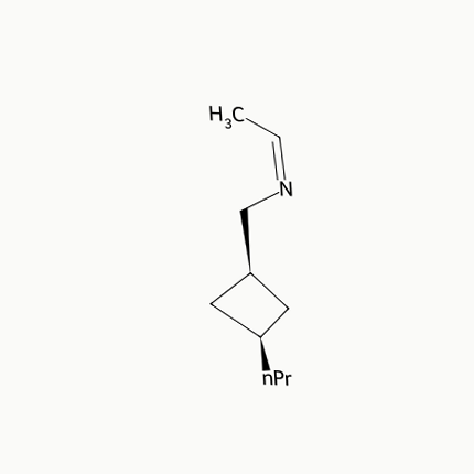 C/C=N\C[C@H]1C[C@@H](CCC)C1